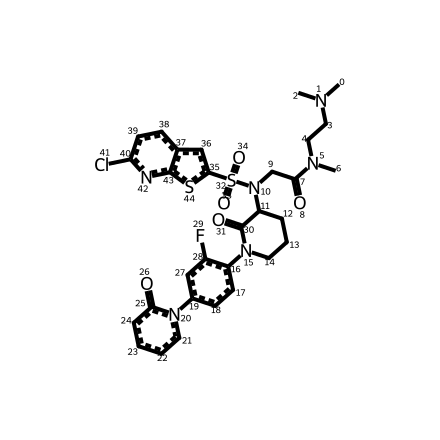 CN(C)CCN(C)C(=O)CN(C1CCCN(c2ccc(-n3ccccc3=O)cc2F)C1=O)S(=O)(=O)c1cc2ccc(Cl)nc2s1